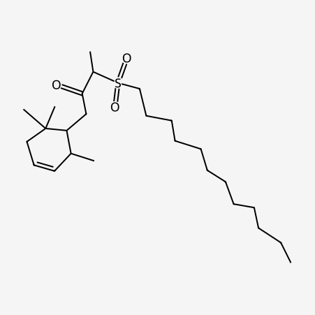 CCCCCCCCCCCCS(=O)(=O)C(C)C(=O)CC1C(C)C=CCC1(C)C